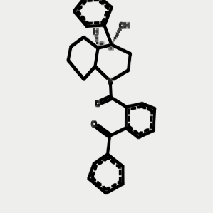 O=C(c1ccccc1)c1ccccc1C(=O)N1CC[C@](O)(c2ccccc2)[C@@H]2CCCCC21